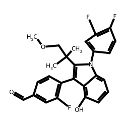 COCC(C)(C)c1c(-c2ccc(C=O)cc2F)c2c(O)cccc2n1-c1ccc(F)c(F)c1